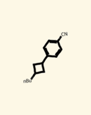 CCCCC1CC(c2ccc(C#N)cc2)C1